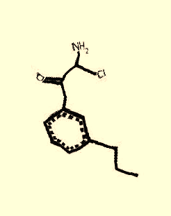 CCCc1cccc(C(=O)C(N)Cl)c1